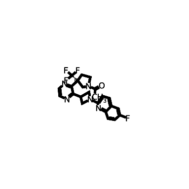 CC(=O)N1CC[C@@](c2nccnc2C2CN(c3ccc4cc(F)ccc4n3)C2)(C(F)(F)F)C1